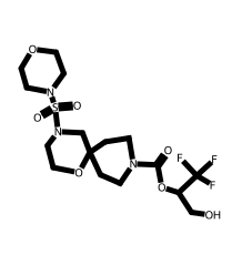 O=C(OC(CO)C(F)(F)F)N1CCC2(CC1)CN(S(=O)(=O)N1CCOCC1)CCO2